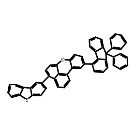 c1ccc(C2(c3ccccc3)c3ccccc3-c3c(-c4ccc5c(c4)-c4cccc6c(-c7ccc8sc9ccccc9c8c7)ccc(c46)O5)cccc32)cc1